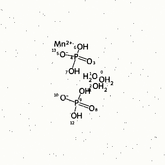 O.O.O.O=P([O-])(O)O.O=P([O-])(O)O.[Mn+2]